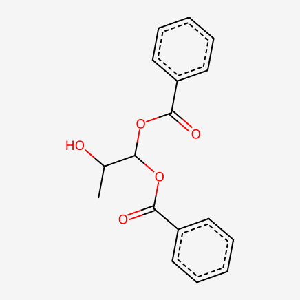 CC(O)C(OC(=O)c1ccccc1)OC(=O)c1ccccc1